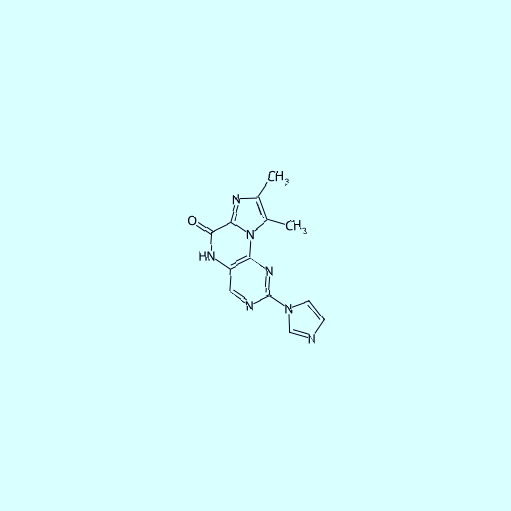 Cc1nc2c(=O)[nH]c3cnc(-n4ccnc4)nc3n2c1C